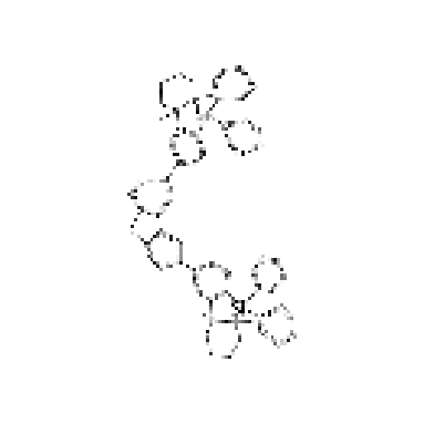 CC12CCCCC1(C)[Si](c1ccccc1)(c1ccccc1)c1ccc(-c3ccc4c(c3)-c3cc(-c5ccc6c(c5)C5(C)CCCCC5(C)[Si]6(c5ccccc5)c5ccccc5)ccc3C4)cc12